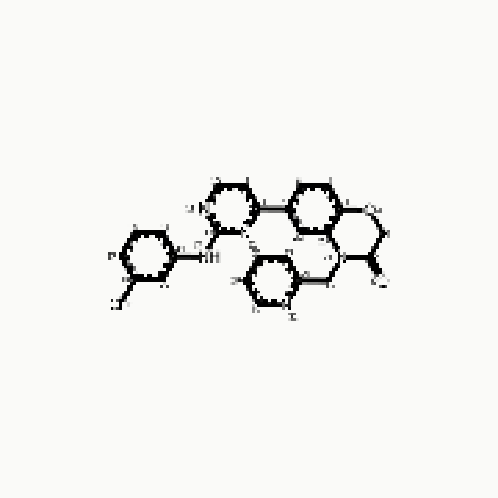 O=C1COc2ccc(-c3ccnc(Nc4cccc(Cl)c4)n3)cc2N1Cc1ccccn1